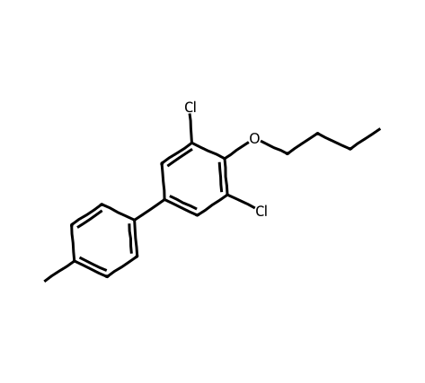 CCCCOc1c(Cl)cc(-c2ccc(C)cc2)cc1Cl